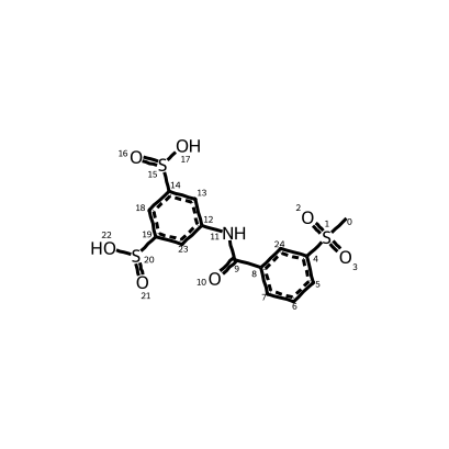 CS(=O)(=O)c1cccc(C(=O)Nc2cc(S(=O)O)cc(S(=O)O)c2)c1